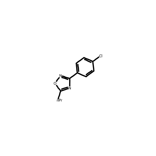 [CH2]CCc1nc(-c2ccc(Cl)cc2)no1